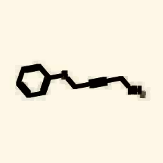 NCC#CCSc1ccccc1